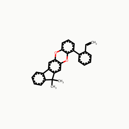 C=Cc1ccccc1-c1cccc2c1Oc1cc3c(cc1O2)-c1ccccc1C3(C)C